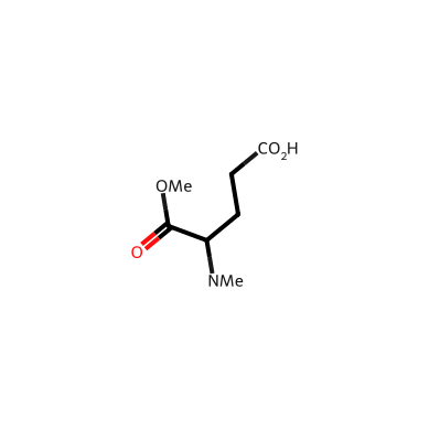 CNC(CCC(=O)O)C(=O)OC